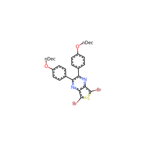 CCCCCCCCCCOc1ccc(-c2nc3c(Br)sc(Br)c3nc2-c2ccc(OCCCCCCCCCC)cc2)cc1